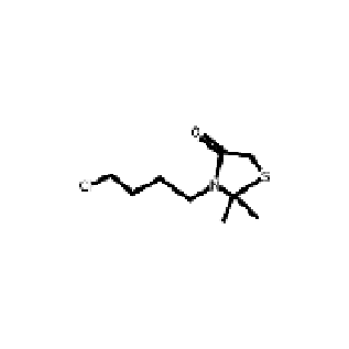 CC1(C)SCC(=O)N1CCCCCl